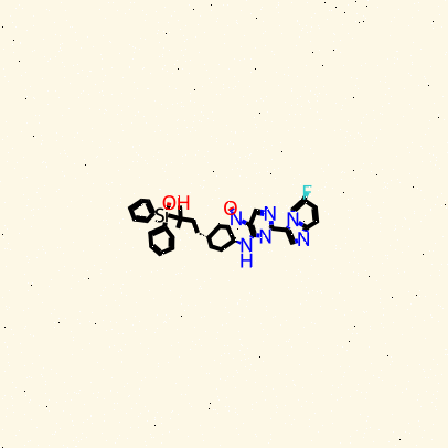 CC(C)(CC[C@H]1CC[C@H](Nc2nc(-c3cnc4ccc(F)cn34)ncc2N=O)CC1)[Si](O)(c1ccccc1)c1ccccc1